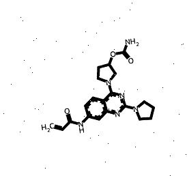 C=CC(=O)Nc1ccc2c(N3CCC(OC(N)=O)C3)nc(N3CCCC3)nc2c1